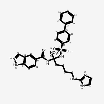 O=C(NC(CCCCNc1ncc[nH]1)(NS(=O)(=O)c1ccc(-c2ccccc2)cc1)C(=O)O)c1ccc2[nH]ncc2c1